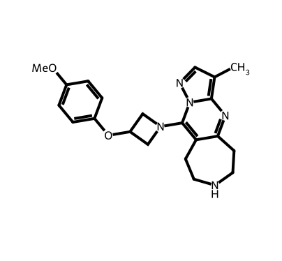 COc1ccc(OC2CN(c3c4c(nc5c(C)cnn35)CCNCC4)C2)cc1